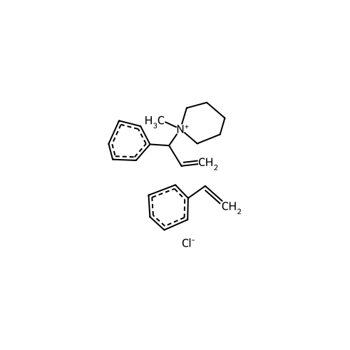 C=CC(c1ccccc1)[N+]1(C)CCCCC1.C=Cc1ccccc1.[Cl-]